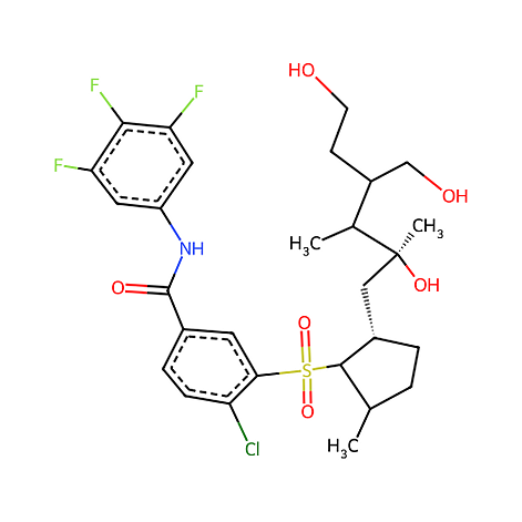 CC1CC[C@@H](C[C@](C)(O)C(C)C(CO)CCO)C1S(=O)(=O)c1cc(C(=O)Nc2cc(F)c(F)c(F)c2)ccc1Cl